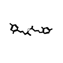 Cc1ccc(CCCC(C)OC(C)CCCc2ccc(C)cc2C)c(C)c1